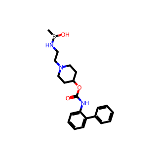 CB(O)NCCN1CCC(OC(=O)Nc2ccccc2-c2ccccc2)CC1